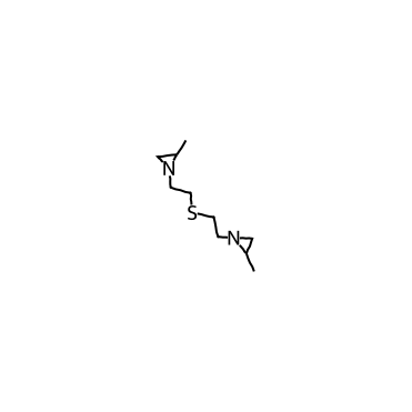 CC1CN1CCSCCN1CC1C